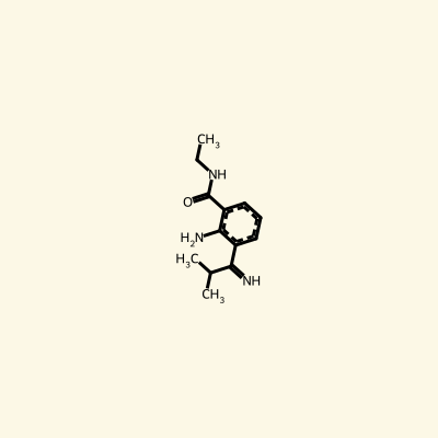 CCNC(=O)c1cccc(C(=N)C(C)C)c1N